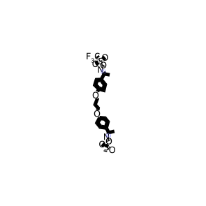 C/C(=N\OS(C)(=O)=O)c1ccc(OCCCOc2ccc(/C(C)=N/OS(=O)(=O)C(F)(F)F)cc2)cc1